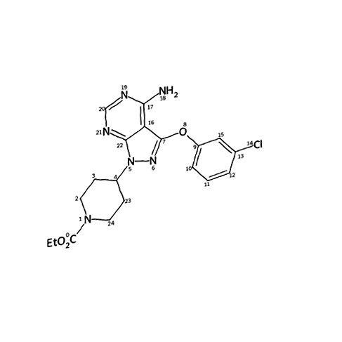 CCOC(=O)N1CCC(n2nc(Oc3cccc(Cl)c3)c3c(N)ncnc32)CC1